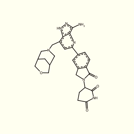 Nc1n[nH]c2c(CN3CC4COCC(C4)C3)cc(-c3ccc4c(c3)CN(C3CCC(=O)NC3=O)C4=O)nc12